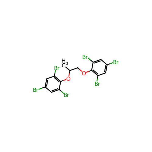 CC(COc1c(Br)cc(Br)cc1Br)Oc1c(Br)cc(Br)cc1Br